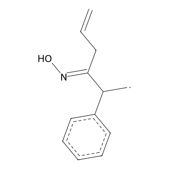 [CH2]C(C(CC=C)=NO)c1ccccc1